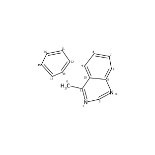 Cc1ncnc2ccccc12.c1ccccc1